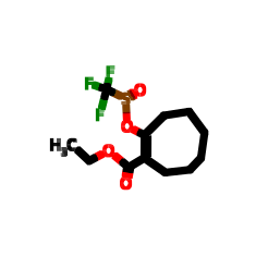 CCOC(=O)/C1=C(\OS(=O)C(F)(F)F)CCCCCC1